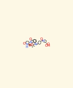 C/[N+](=C/C1CCC(C(=O)N2CC[C@@H](C(=O)O)C2)CC1)c1cccc2c1C(=O)N(C1CCC(=O)NC1=O)C2=O